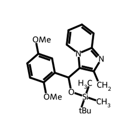 [CH2]c1nc2ccccn2c1C(O[Si](C)(C)C(C)(C)C)c1cc(OC)ccc1OC